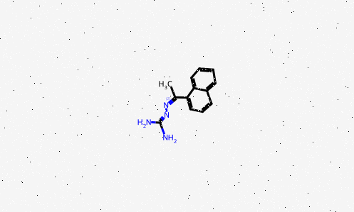 C/C(=N/N=C(N)N)c1cccc2ccccc12